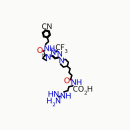 N#Cc1ccc(CCNC(=O)[C@@H]2CCN2c2cc(N3CCC(CCCC(=O)NC(CCCNC(=N)N)C(=O)O)CC3)nc(C(F)(F)F)n2)cc1